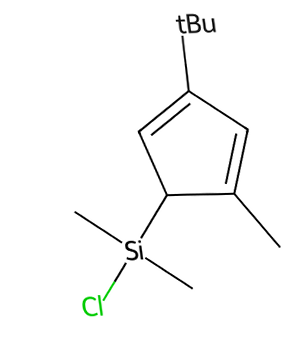 CC1=CC(C(C)(C)C)=CC1[Si](C)(C)Cl